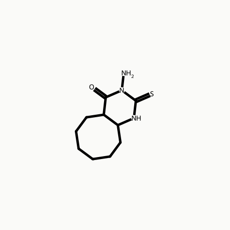 NN1C(=O)C2CCCCCCC2NC1=S